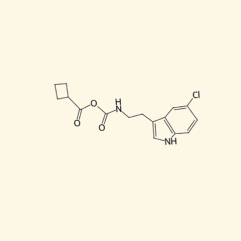 O=C(NCCc1c[nH]c2ccc(Cl)cc12)OC(=O)C1CCC1